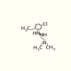 CCc1ccc(Cl)cc1NNCCN(CC)CC